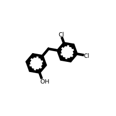 Oc1cccc([CH]c2ccc(Cl)cc2Cl)c1